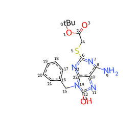 CC(C)(C)OC(=O)CSc1nc(N)c2nc(O)n(Cc3ccccc3)c2n1